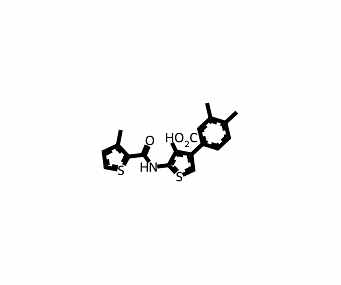 Cc1ccc(-c2csc(NC(=O)c3sccc3C)c2C(=O)O)cc1C